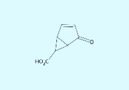 O=C(O)C1C2C=CC(=O)C21